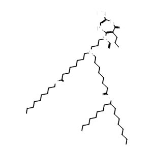 C=CN(CCCN(CCCCCCCC(=O)OCCCCCCCCC)CCCCCCCC(=O)OC(CCCCCCCC)CCCCCCCC)C1=C(CCC)C(=O)NC(N)=CN1